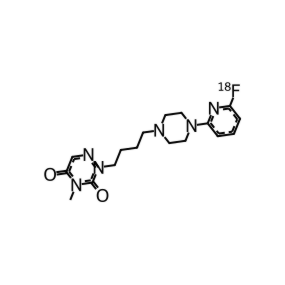 Cn1c(=O)cnn(CCCCN2CCN(c3cccc([18F])n3)CC2)c1=O